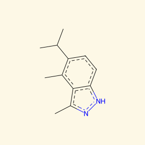 Cc1n[nH]c2ccc(C(C)C)c(C)c12